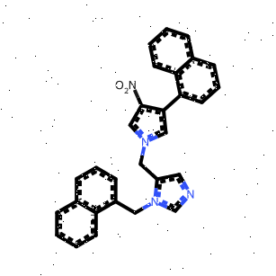 O=[N+]([O-])c1cn(Cc2cncn2Cc2cccc3ccccc23)cc1-c1cccc2ccccc12